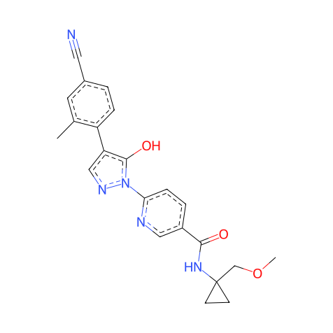 COCC1(NC(=O)c2ccc(-n3ncc(-c4ccc(C#N)cc4C)c3O)nc2)CC1